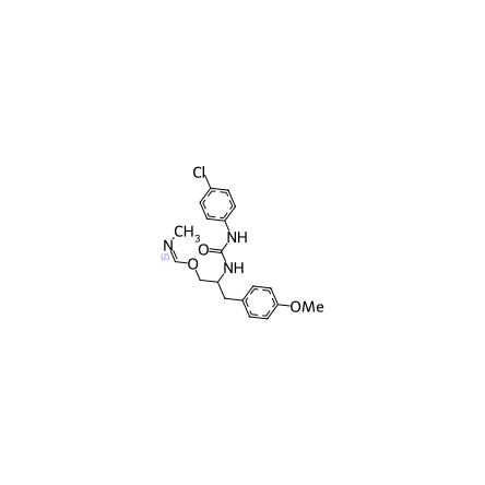 C/N=C\OCC(Cc1ccc(OC)cc1)NC(=O)Nc1ccc(Cl)cc1